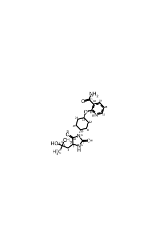 CC(C)(O)CC1NC(=O)N([C@H]2CC[C@H](Oc3ncccc3C(N)=O)CC2)C1=O